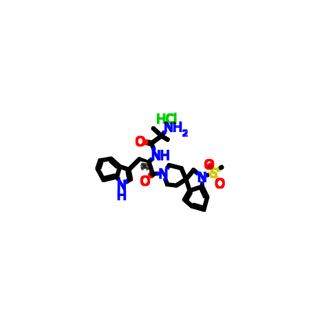 CC(C)(N)C(=O)N[C@H](Cc1c[nH]c2ccccc12)C(=O)N1CCC2(CC1)CN(S(C)(=O)=O)c1ccccc12.Cl